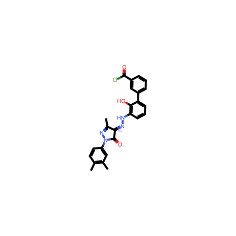 CC1=NN(c2ccc(C)c(C)c2)C(=O)/C1=N/Nc1cccc(-c2cccc(C(=O)Cl)c2)c1O